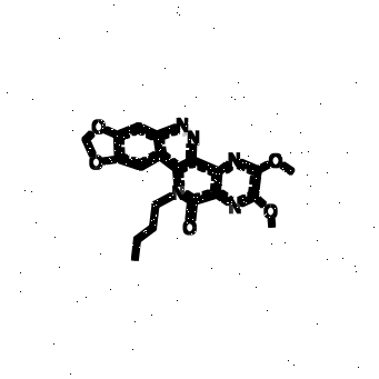 CCCCn1c(=O)c2nc(OC)c(OC)nc2c2nnc3cc4c(cc3c21)OCO4